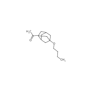 CCCCOC12CC3CC(C1)C(C(C)=O)(C3)C2